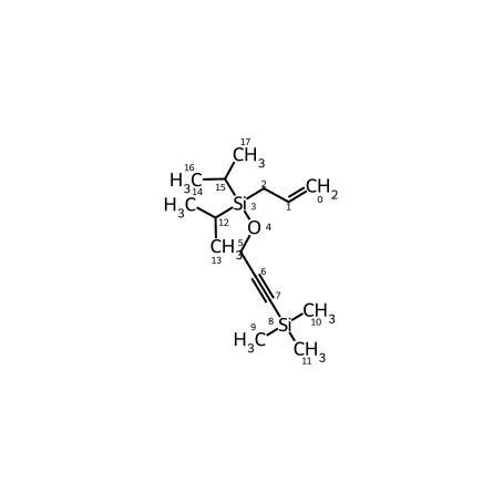 C=CC[Si](OCC#C[Si](C)(C)C)(C(C)C)C(C)C